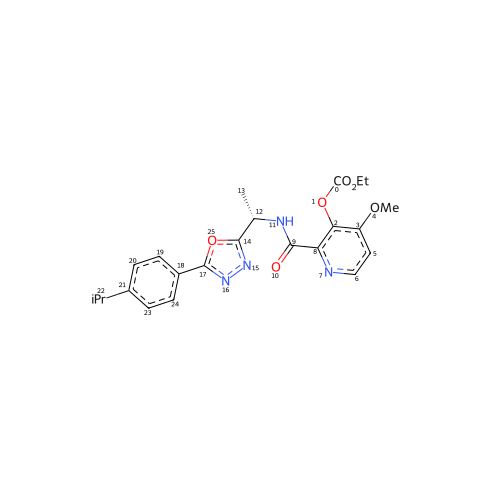 CCOC(=O)Oc1c(OC)ccnc1C(=O)N[C@@H](C)c1nnc(-c2ccc(C(C)C)cc2)o1